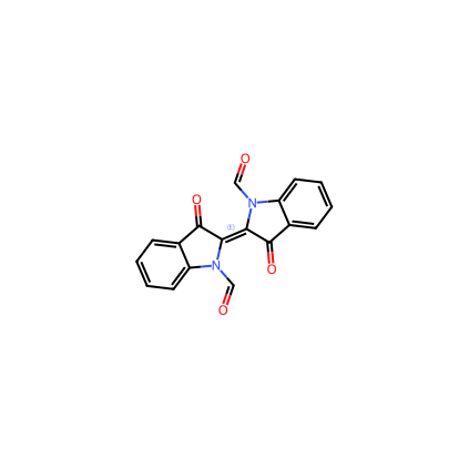 O=CN1/C(=C2\C(=O)c3ccccc3N2C=O)C(=O)c2ccccc21